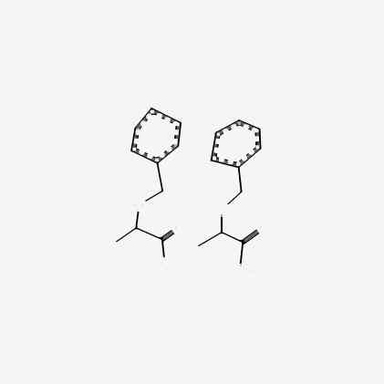 CC(OCc1ccccc1)C(=O)O.CC(OCc1ccccc1)C(=O)O